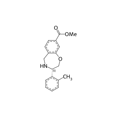 COC(=O)c1ccc2c(c1)OC[C@H](c1ccccc1C)NC2